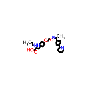 CCCNC(Cc1ccc(OCCON=C(C)c2ccc(-c3ccccn3)cc2)cc1)C(=O)O